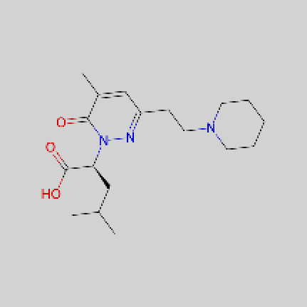 Cc1cc(CCN2CCCCC2)nn([C@@H](CC(C)C)C(=O)O)c1=O